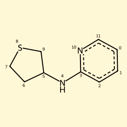 c1ccc(NC2CCSC2)nc1